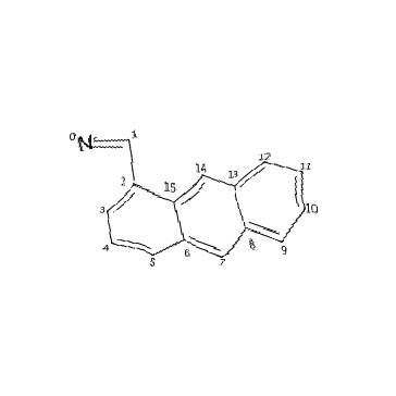 [N]=Cc1cccc2cc3ccccc3cc12